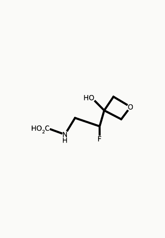 O=C(O)NCC(F)C1(O)COC1